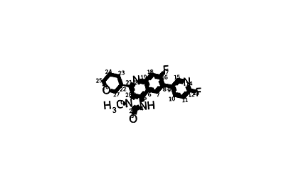 Cn1c(=O)[nH]c2c3cc(-c4ccc(F)nc4)c(F)cc3nc([C@@H]3CCCOC3)c21